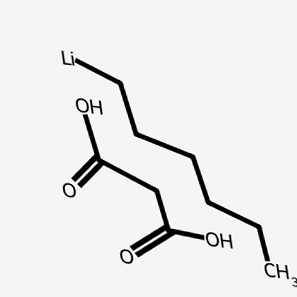 O=C(O)CC(=O)O.[Li][CH2]CCCCC